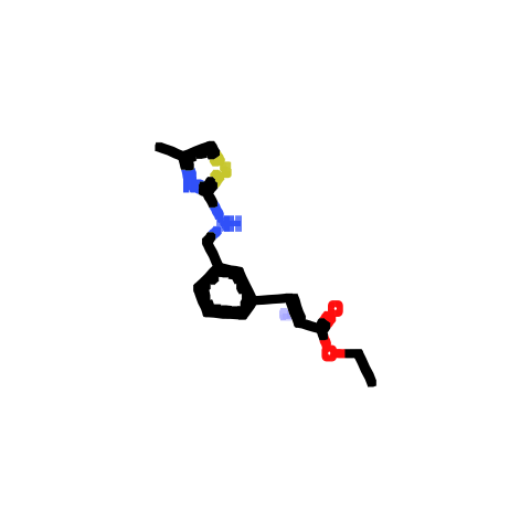 CCOC(=O)/C=C/c1cccc(CNc2nc(C)cs2)c1